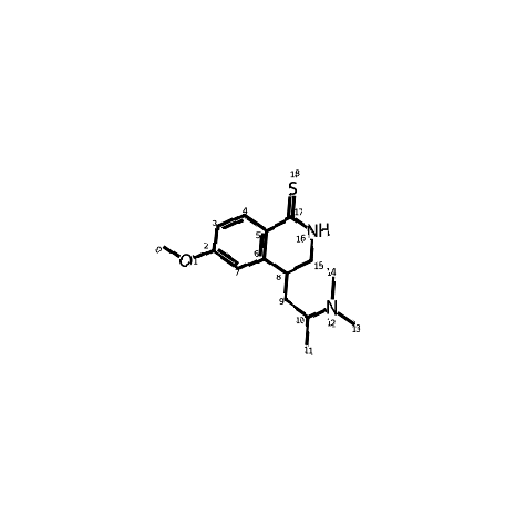 COc1ccc2c(c1)C(CC(C)N(C)C)CNC2=S